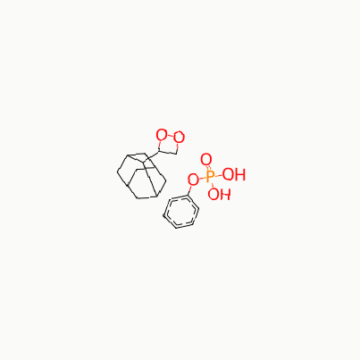 C1C2CC3CC1CC(C2)C3C1COO1.O=P(O)(O)Oc1ccccc1